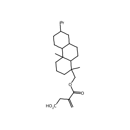 C=C(CC(=O)O)C(=O)OCC1(C)CCCC2(C)C3CCC(C(C)C)CC3CCC12